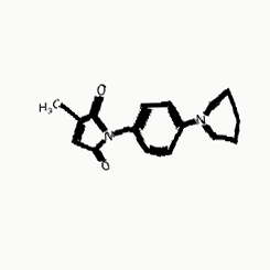 CC1=CC(=O)N(c2ccc(N3CCCCC3)cc2)C1=O